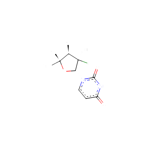 [2H][C@]1(C=O)O[C@@H](n2ccc(=O)[nH]c2=O)[C@](C)(F)[C@@H]1C